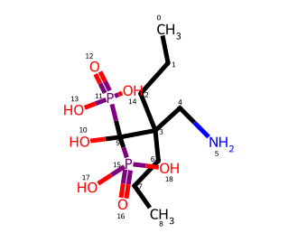 CCCC(CN)(CCC)C(O)(P(=O)(O)O)P(=O)(O)O